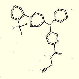 N#CCOC(=O)c1ccc(C(c2ccccc2)c2ccc(-c3ccccc3C(F)(F)F)cc2)cn1